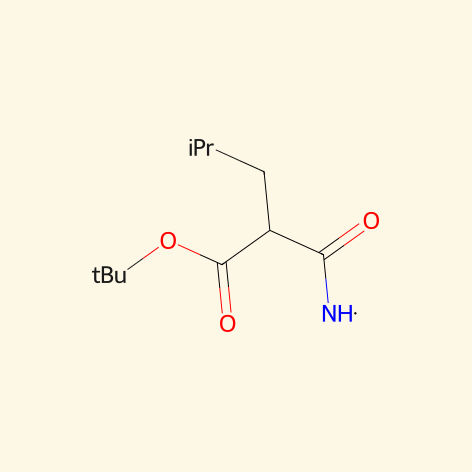 CC(C)CC(C([NH])=O)C(=O)OC(C)(C)C